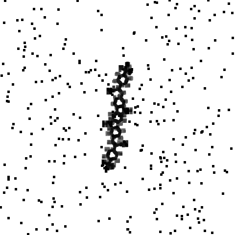 N#C/C(=C\c1ccc2c(c1)[nH]c1cc3c(cc12)[nH]c1cc(/C=C(\C#N)c2ccc(C(F)(F)F)cc2)ccc13)c1ccc(C(F)(F)F)cc1